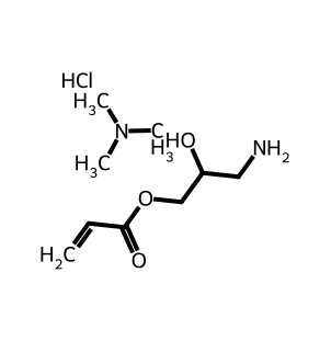 C=CC(=O)OCC(O)CN.CN(C)C.Cl